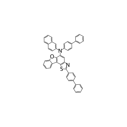 c1ccc(-c2ccc(-c3nc4cc(N(c5ccc(-c6ccccc6)cc5)c5ccc6ccccc6c5)c5oc6ccccc6c5c4s3)cc2)cc1